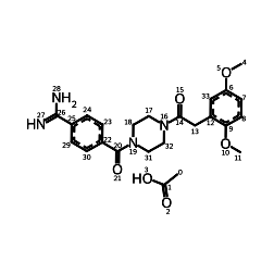 CC(=O)O.COc1ccc(OC)c(CC(=O)N2CCN(C(=O)c3ccc(C(=N)N)cc3)CC2)c1